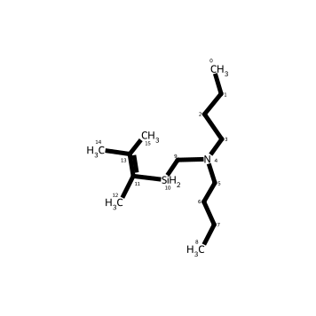 CCCCN(CCCC)C[SiH2]C(C)=C(C)C